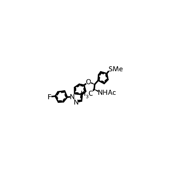 CSc1ccc([C@H](Oc2ccc3c(cnn3-c3ccc(F)cc3)c2)[C@H](C)NC(C)=O)cc1